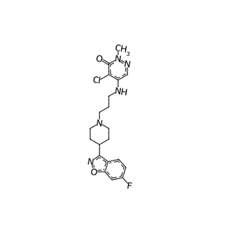 Cn1ncc(NCCCN2CCC(c3noc4cc(F)ccc34)CC2)c(Cl)c1=O